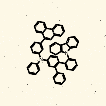 C1=Cc2c(n(-c3ccccc3-c3ccc(N(c4ccccc4)c4cccc(-c5cc6ccccc6c6ccccc56)c4)cc3-c3ccccc3)c3ccccc23)CC1